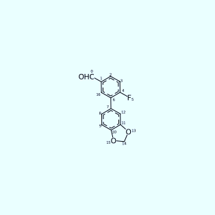 O=Cc1ccc(F)c(-c2ccc3c(c2)OCO3)c1